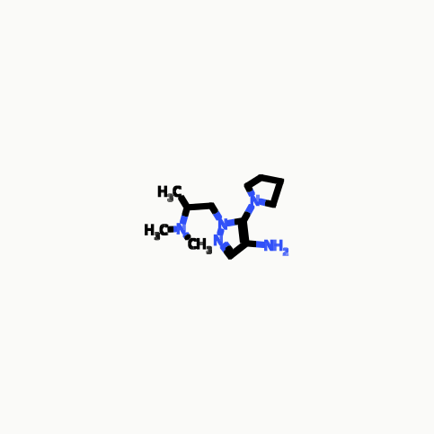 CC(Cn1ncc(N)c1N1CCCC1)N(C)C